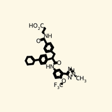 Cn1nnc(-c2cc(NC(=O)C(Cc3ccc(C(=O)NCCC(=O)O)cc3)c3ccc(C4=CCCCC4)cc3)ccc2OC(F)(F)F)n1